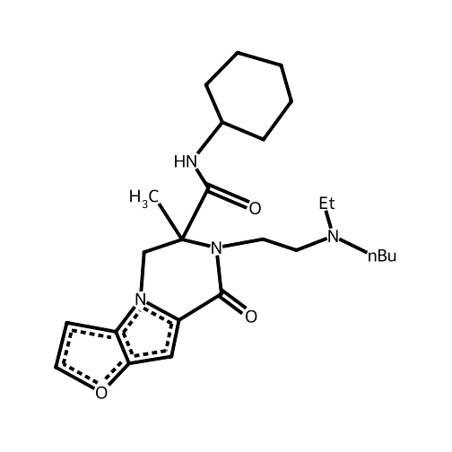 CCCCN(CC)CCN1C(=O)c2cc3occc3n2CC1(C)C(=O)NC1CCCCC1